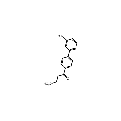 O=C(O)CCC(=O)c1ccc(-c2cccc([N+](=O)[O-])c2)cc1